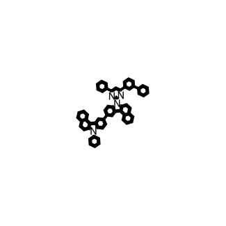 c1ccc(-c2cccc(-c3cc(-c4ccccc4)nc(-n4c5ccc(-c6ccc7c(c6)c6c8ccccc8ccc6n7-c6ccccc6)cc5c5c6ccccc6ccc54)n3)c2)cc1